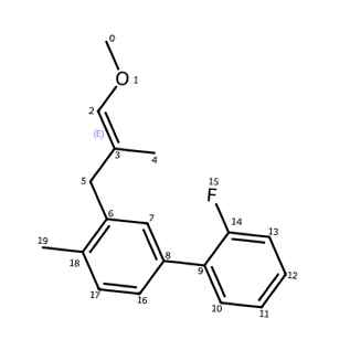 CO/C=C(\C)Cc1cc(-c2ccccc2F)ccc1C